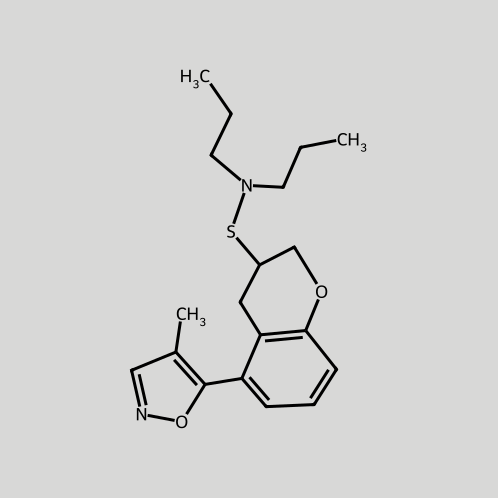 CCCN(CCC)SC1COc2cccc(-c3oncc3C)c2C1